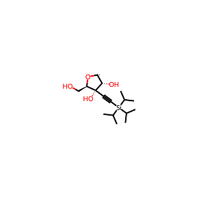 CC(C)[Si](C#C[C@]1(O)[C@@H](O)[CH]O[C@@H]1CO)(C(C)C)C(C)C